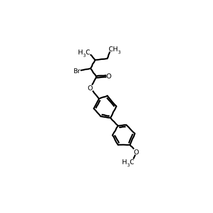 CCC(C)C(Br)C(=O)Oc1ccc(-c2ccc(OC)cc2)cc1